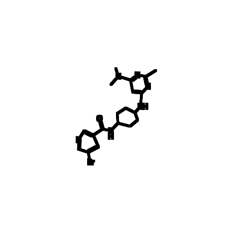 Cc1nc(NC2CCC(NC(=O)c3cncc(Br)c3)CC2)cc(N(C)C)n1